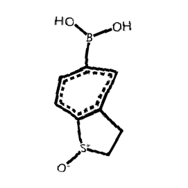 [O-][S+]1CCc2cc(B(O)O)ccc21